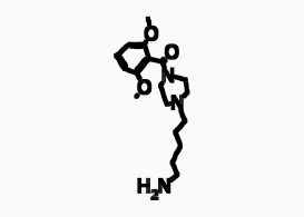 COc1cccc(OC)c1C(=O)N1CCN(CCCCCN)CC1